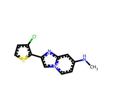 CNc1ccn2cc(-c3sccc3Cl)nc2c1